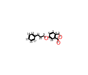 O=C1OCc2ccc(OCCCc3ccccc3)cc21